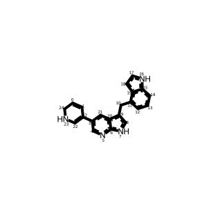 C1=CC(c2cnc3[nH]cc(Cc4cccc5[nH]ccc45)c3c2)=CNC1